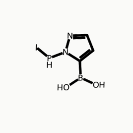 OB(O)c1ccnn1PI